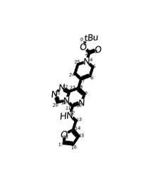 CC(C)(C)OC(=O)N1CC=C(c2cnc(NCc3ccco3)n3cnnc23)CC1